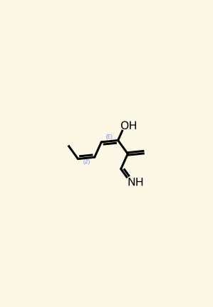 C=C(C=N)/C(O)=C\C=C/C